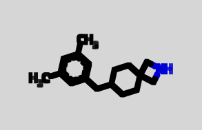 Cc1cc(C)cc(CC2CCC3(CC2)CNC3)c1